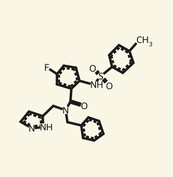 Cc1ccc(S(=O)(=O)Nc2ccc(F)cc2C(=O)N(Cc2ccccc2)Cc2ccn[nH]2)cc1